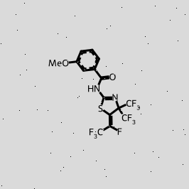 COc1cccc(C(=O)NC2=NC(C(F)(F)F)(C(F)(F)F)C(=C(F)C(F)(F)F)S2)c1